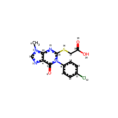 Cn1cnc2c(=O)n(-c3ccc(Cl)cc3)c(SCC(=O)O)nc21